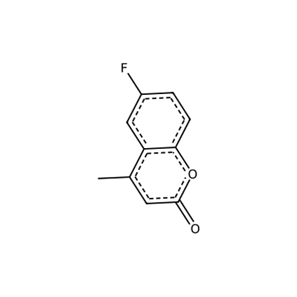 Cc1cc(=O)oc2ccc(F)cc12